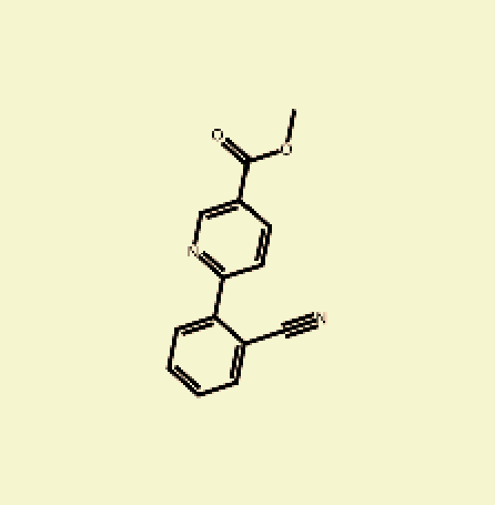 COC(=O)c1ccc(-c2ccccc2C#N)nc1